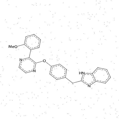 COc1ccccc1-c1nccnc1Oc1ccc([C]c2nc3ccccc3[nH]2)cc1